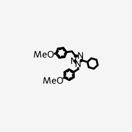 COc1ccc(Cc2nc(C3CCCCC3)n(Cc3ccc(OC)cc3)n2)cc1